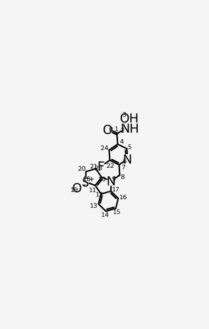 O=C(NO)c1cnc(Cn2c3c(c4ccccc42)[S+]([O-])CC3)c(F)c1